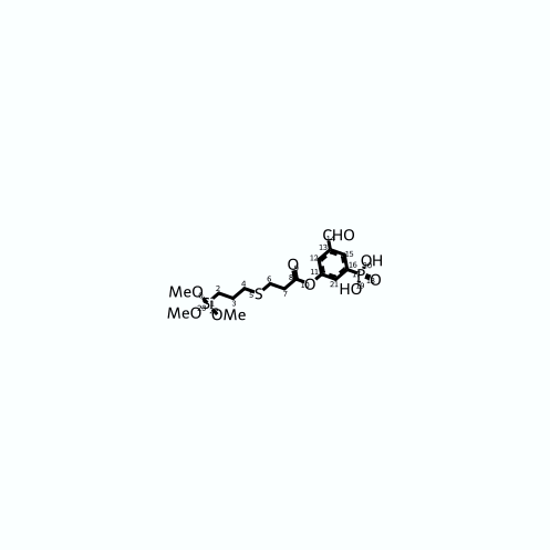 CO[Si](CCCSCCC(=O)Oc1cc(C=O)cc(P(=O)(O)O)c1)(OC)OC